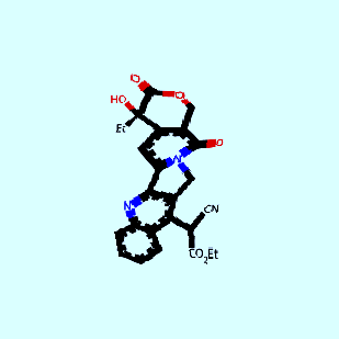 CCOC(=O)C(C#N)c1c2c(nc3ccccc13)-c1cc3c(c(=O)n1C2)COC(=O)[C@]3(O)CC